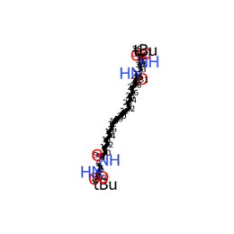 CC(C)(C)OC(=O)NCCNC(=O)CCCCCCCCC#CC#CCCCCCCCCC(=O)NCCNC(=O)OC(C)(C)C